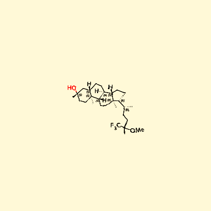 COC(C)(CC[C@@H](C)[C@H]1CC[C@H]2[C@@H]3CC[C@H]4C[C@@](C)(O)CC[C@]4(C)[C@H]3CC[C@]12C)C(F)(F)F